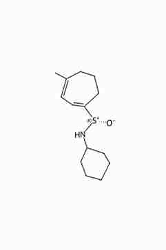 CC1=CC=C([S@+]([O-])NC2CCCCC2)CCC1